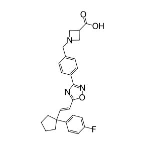 O=C(O)C1CN(Cc2ccc(-c3noc(C=CC4(c5ccc(F)cc5)CCCC4)n3)cc2)C1